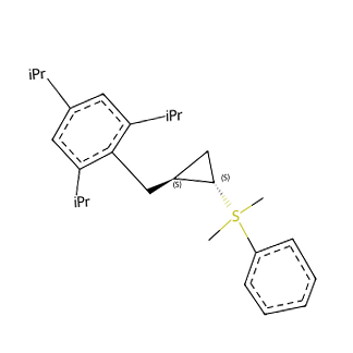 CC(C)c1cc(C(C)C)c(C[C@H]2C[C@@H]2S(C)(C)c2ccccc2)c(C(C)C)c1